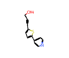 OCC#Cc1ccc(-c2ccncc2)s1